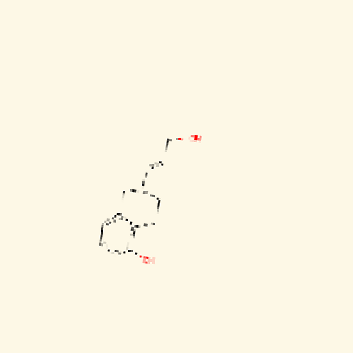 OC/C=C/C1CCc2c(O)cccc2C1